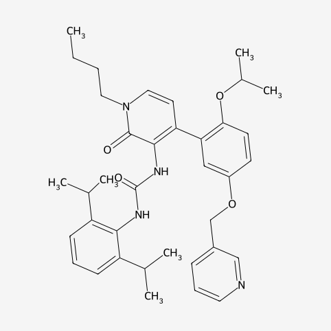 CCCCn1ccc(-c2cc(OCc3cccnc3)ccc2OC(C)C)c(NC(=O)Nc2c(C(C)C)cccc2C(C)C)c1=O